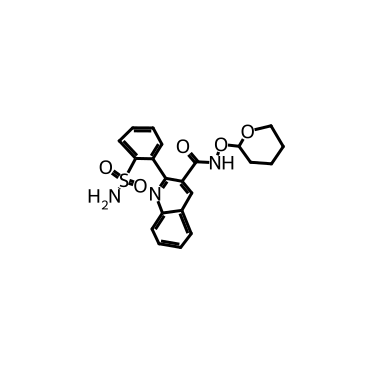 NS(=O)(=O)c1ccccc1-c1nc2ccccc2cc1C(=O)NOC1CCCCO1